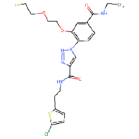 O=C(NCC(F)(F)F)c1ccc(-n2cc(C(=O)NCCc3ccc(Cl)s3)nn2)c(OCCOCCF)c1